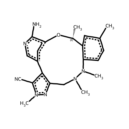 Cc1ccc2c(c1)[C@@H](C)Oc1cc(cnc1N)-c1c(nn(C)c1C#N)CN(C)N2C